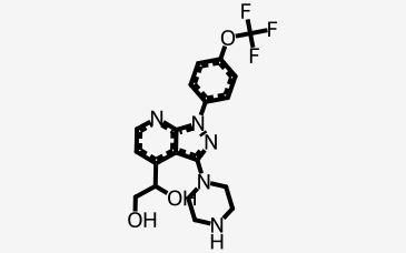 OCC(O)c1ccnc2c1c(N1CCNCC1)nn2-c1ccc(OC(F)(F)F)cc1